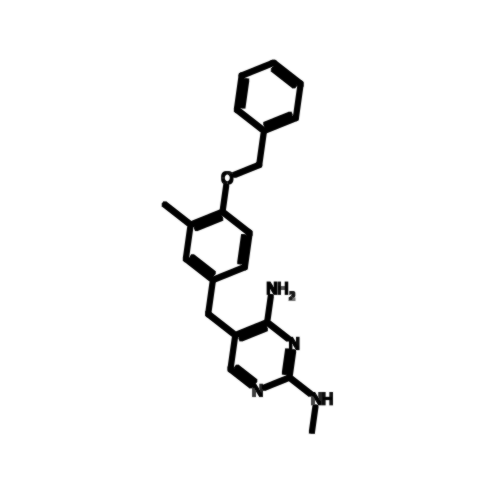 CNc1ncc(Cc2ccc(OCc3ccccc3)c(C)c2)c(N)n1